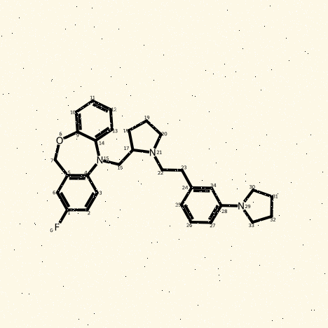 Fc1ccc2c(c1)COc1ccccc1N2CC1CCCN1CCc1cccc(N2CCCC2)c1